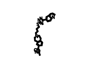 Cc1cc(-c2ccc3c(c2)CCN(CCCCSc2nnc(-c4ccc5ncccc5c4)n2C)CC3)on1